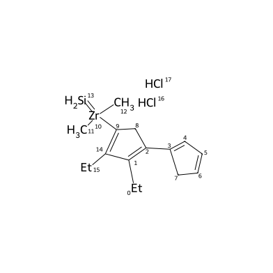 CCC1=C(C2=CC=CC2)C[C]([Zr]([CH3])([CH3])=[SiH2])=C1CC.Cl.Cl